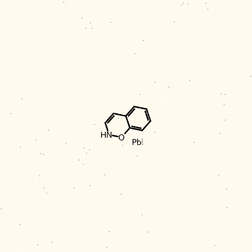 C1=Cc2ccccc2ON1.[Pb]